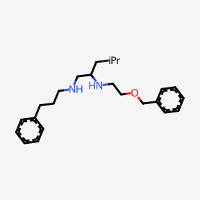 CC(C)CC(CNCCCc1ccccc1)NCCOCc1ccccc1